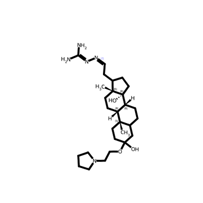 C[C@]12CCC(O)(OCCN3CCCC3)CC1CC[C@@H]1[C@H]2CC[C@]2(C)C(C/C=N\N=C(N)N)CC[C@@]12O